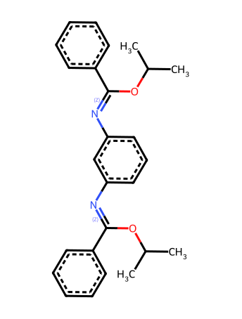 CC(C)O/C(=N\c1cccc(/N=C(\OC(C)C)c2ccccc2)c1)c1ccccc1